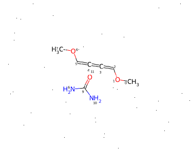 COC=C=C=COC.NC(N)=O